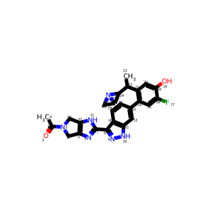 CC(=O)N1Cc2nc(-c3n[nH]c4cc(-c5cc(F)c(O)cc5C(C)C5C6CN65)ccc34)[nH]c2C1